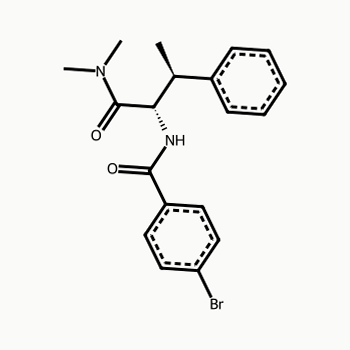 C[C@@H](c1ccccc1)[C@H](NC(=O)c1ccc(Br)cc1)C(=O)N(C)C